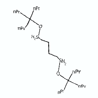 CCCC(CCC)(CCC)O[SiH2]CC[SiH2]OC(CCC)(CCC)CCC